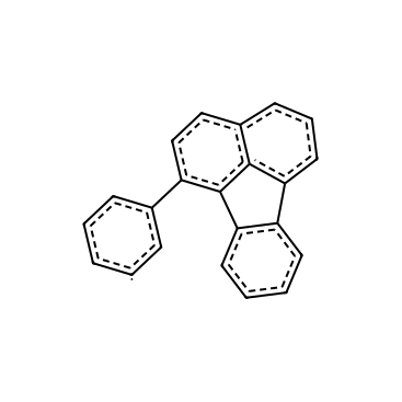 [c]1cccc(-c2ccc3cccc4c3c2-c2ccccc2-4)c1